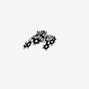 CNC(C[C@@H](Oc1cccc2ccsc12)c1ccccc1)OC(=O)C(=O)OC(C[C@@H](Oc1cccc2ccsc12)c1ccccc1)NC